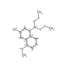 CCCN(CCC)c1nc(Cl)nc2c(SC)ncnc12